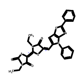 CCN1C(=O)/C(=c2\s/c(=C/c3cc4oc(-c5ccccc5)nc4n3-c3ccccc3)c(=O)n2CC)SC1=S